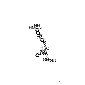 N=C(N)c1ccc2cc(OC(=O)c3ccc(OCCNC(=O)[C@H](CCCCCNC=O)NC(=O)OCc4ccccc4)cc3)ccc2c1